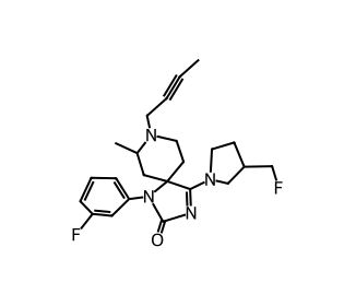 CC#CCN1CCC2(CC1C)C(N1CCC(CF)C1)=NC(=O)N2c1cccc(F)c1